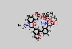 CN1CC(c2cc(-c3cccc([C@@H](CO)NC(=O)OC(C)(C)C)c3)c3occc3c2)Oc2c(CC(=O)O)cccc21